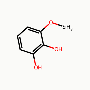 Oc1cccc(O[SiH3])c1O